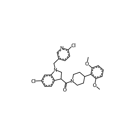 COc1cccc(OC)c1C1CCN(C(=O)C2CN(Cc3ccc(Cl)nc3)c3cc(Cl)ccc32)CC1